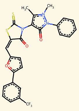 Cc1c(N2C(=O)/C(=C\c3ccc(-c4cccc(C(F)(F)F)c4)o3)SC2=S)c(=O)n(-c2ccccc2)n1C